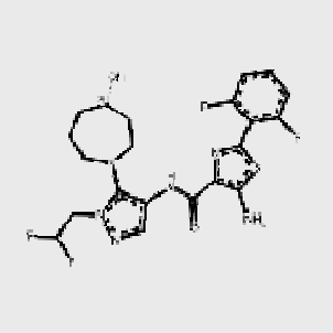 Nc1sc(-c2c(F)cccc2F)nc1C(=O)Nc1cnn(CC(F)F)c1N1CCC[C@H](O)CC1